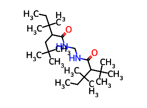 CCC(C)(C)C(CC(C)(C)C)C(=O)NCNC(=O)C(C(C)(C)C)C(C)(C)CC